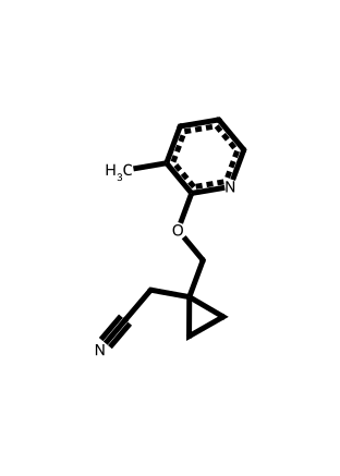 Cc1cccnc1OCC1(CC#N)CC1